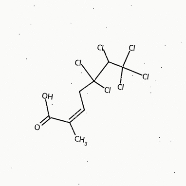 CC(=CCC(Cl)(Cl)C(Cl)C(Cl)(Cl)Cl)C(=O)O